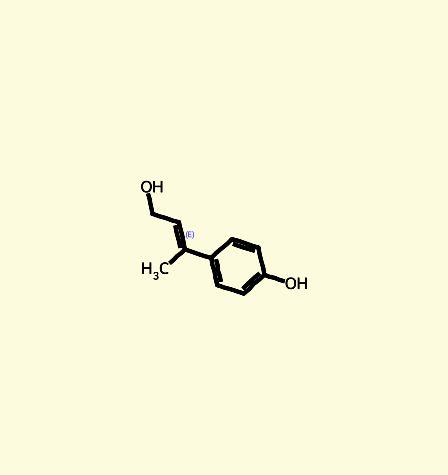 C/C(=C\CO)c1ccc(O)cc1